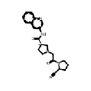 N#CC1CCCN1C(=O)CN1CC[C@@H](C(=O)Nc2cnc3ccccc3c2)C1